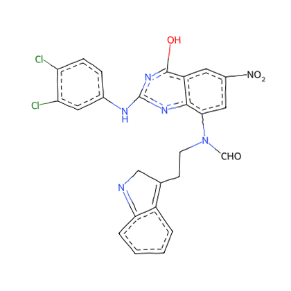 O=CN(CCC1=c2ccccc2=NC1)c1cc([N+](=O)[O-])cc2c(O)nc(Nc3ccc(Cl)c(Cl)c3)nc12